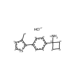 Cc1ncsc1-c1ccc(C2(N)CCC2)cc1.Cl